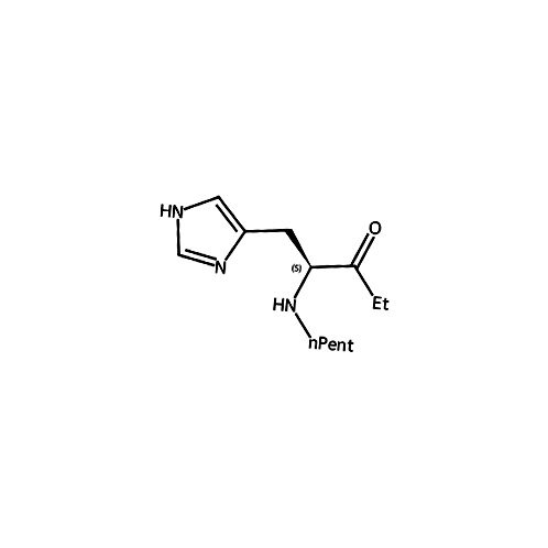 CCCCCN[C@@H](Cc1c[nH]cn1)C(=O)CC